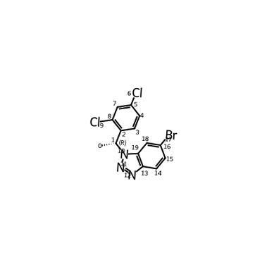 C[C@H](c1ccc(Cl)cc1Cl)n1nnc2ccc(Br)cc21